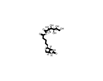 N[C@@](O)(C(=O)OC(=O)CCCC[C@@H]1SC[C@@H]2NC(=O)N[C@@H]21)[C@@H](O)[C@H](O)[C@H](O)CO